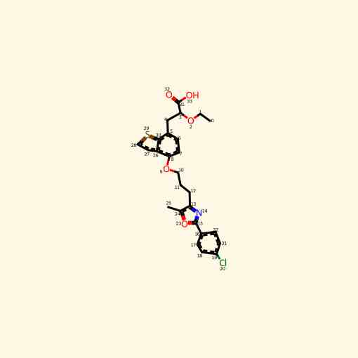 CCOC(Cc1ccc(OCCCc2nc(-c3ccc(Cl)cc3)oc2C)c2ccsc12)C(=O)O